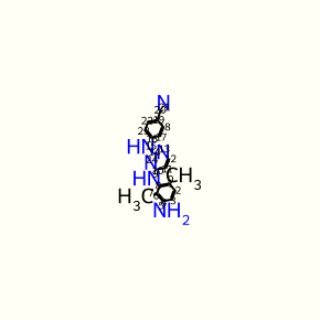 Cc1ccc(N)c(C)c1Nc1ccnc(Nc2ccc(C#N)cc2)n1